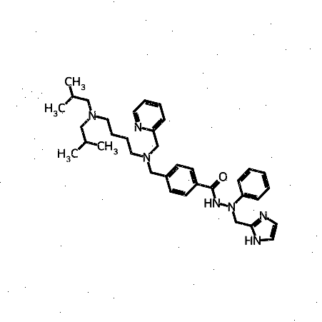 CC(C)CN(CCCCN(Cc1ccc(C(=O)NN(Cc2ncc[nH]2)c2ccccc2)cc1)Cc1ccccn1)CC(C)C